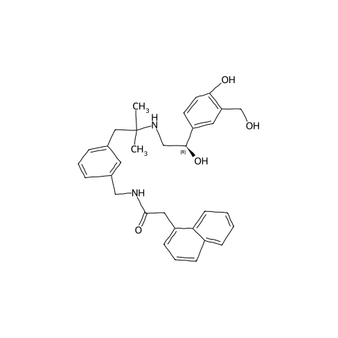 CC(C)(Cc1cccc(CNC(=O)Cc2cccc3ccccc23)c1)NC[C@H](O)c1ccc(O)c(CO)c1